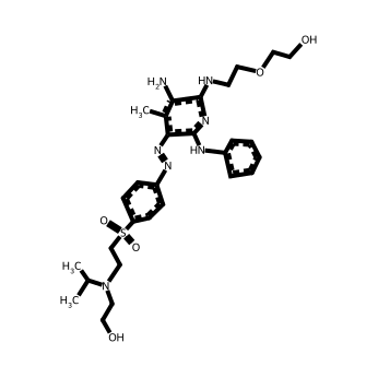 Cc1c(N)c(NCCOCCO)nc(Nc2ccccc2)c1/N=N/c1ccc(S(=O)(=O)CCN(CCO)C(C)C)cc1